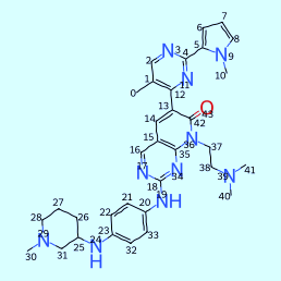 Cc1cnc(-c2cccn2C)nc1-c1cc2cnc(Nc3ccc(NC4CCCN(C)C4)cc3)nc2n(CCN(C)C)c1=O